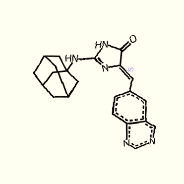 O=C1NC(NC23CC4CC(CC(C4)C2)C3)=N/C1=C\c1ccc2ncncc2c1